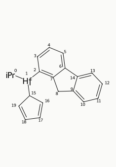 C[CH](C)[Hf]([c]1cccc2c1Cc1ccccc1-2)[CH]1C=CC=C1